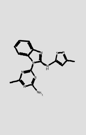 Cc1cc(Nc2nc3ccccc3n2-c2nc(C)nc(N)n2)sn1